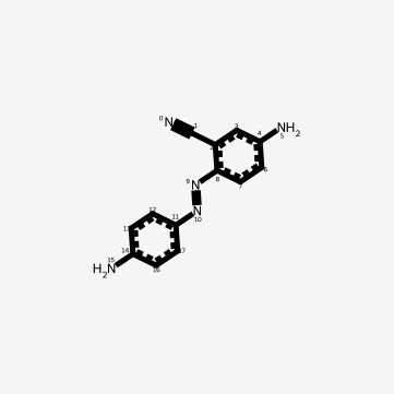 N#Cc1cc(N)ccc1N=Nc1ccc(N)cc1